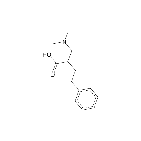 CN(C)CC(CCc1ccccc1)C(=O)O